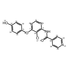 O=C(Nc1ncnc(Oc2ccc(O)cc2)c1Cl)c1ccncc1